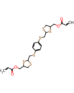 C=CC(=O)OCC1CSC(CSc2ccc(SCC3SCC(COC(=O)C=C)S3)cc2)S1